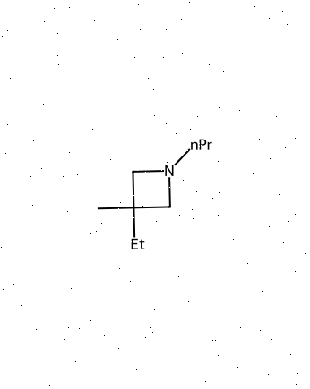 CCCN1CC(C)(CC)C1